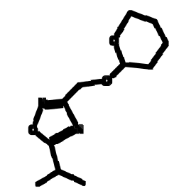 CC(C)c1nc(COC2CCCCO2)no1